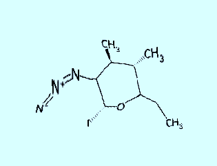 CCC1O[C@H](I)C(N=[N+]=[N-])[C@@H](C)[C@@H]1C